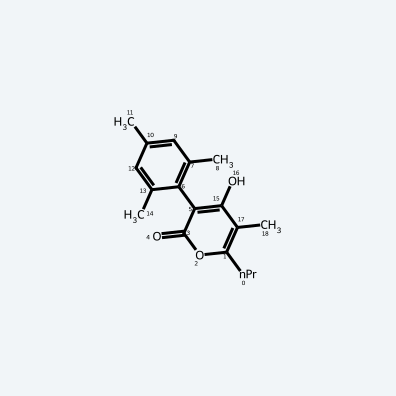 CCCc1oc(=O)c(-c2c(C)cc(C)cc2C)c(O)c1C